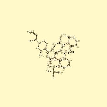 C=CC(=O)N1CCN(c2nc(=O)n(-c3c(C)ccnc3C(C)C(F)(F)F)c3nc(-c4c(O)cccc4F)c(F)cc23)[C@@H](C)C1